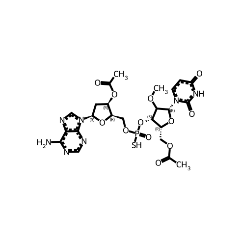 COC1[C@@H](OP(=O)(S)OC[C@H]2O[C@@H](n3cnc4c(N)ncnc43)C[C@H]2OC(C)=O)[C@@H](COC(C)=O)O[C@H]1n1ccc(=O)[nH]c1=O